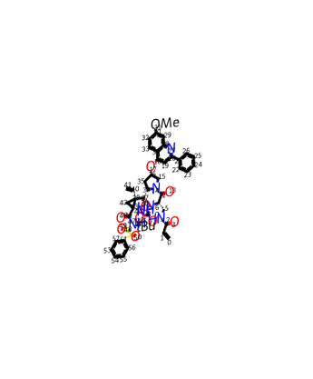 C=CC(=O)NC[C@H](NC(=O)OC(C)(C)C)C(=O)N1C[C@H](Oc2cc(-c3ccccc3)nc3cc(OC)ccc23)C[C@H]1C(=O)[C@]1(C=C)C[C@]1(N)C(=O)NS(=O)(=O)c1ccccc1